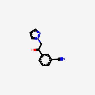 N#Cc1cccc(C(=O)Cn2cccn2)c1